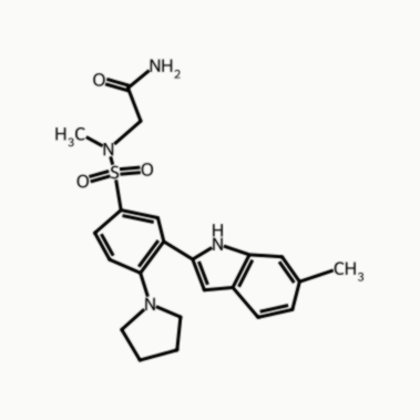 Cc1ccc2cc(-c3cc(S(=O)(=O)N(C)CC(N)=O)ccc3N3CCCC3)[nH]c2c1